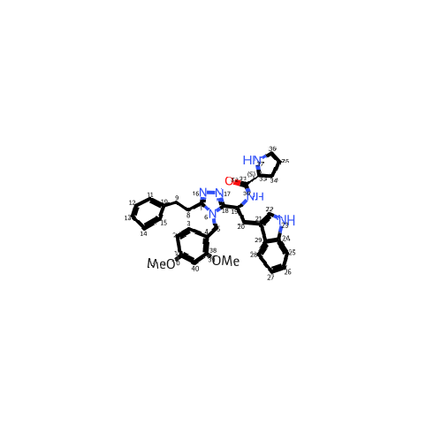 COc1ccc(Cn2c(CCc3ccccc3)nnc2C(Cc2c[nH]c3ccccc23)NC(=O)[C@@H]2CCCN2)c(OC)c1